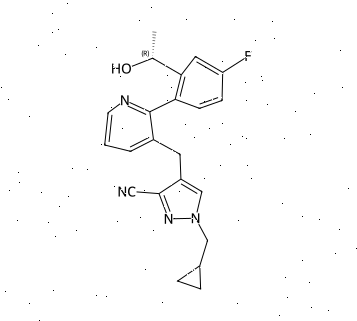 C[C@@H](O)c1cc(F)ccc1-c1ncccc1Cc1cn(CC2CC2)nc1C#N